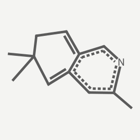 Cc1cc2c(cn1)=CCC(C)(C)C=2